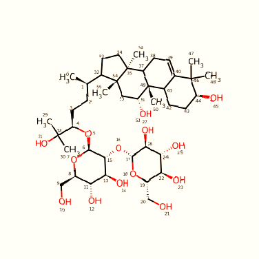 C[C@H](CC[C@@H](O[C@@H]1O[C@H](CO)[C@@H](O)[C@H](O)[C@H]1O[C@H]1O[C@@H](CO)[C@H](O)[C@@H](O)[C@@H]1O)C(C)(C)O)C1CC[C@@]2(C)C3CC=C4C(CC[C@H](O)C4(C)C)[C@]3(C)[C@H](O)C[C@]12C